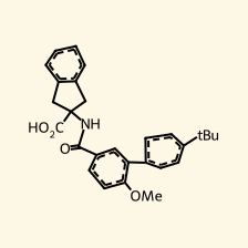 COc1ccc(C(=O)NC2(C(=O)O)Cc3ccccc3C2)cc1-c1ccc(C(C)(C)C)cc1